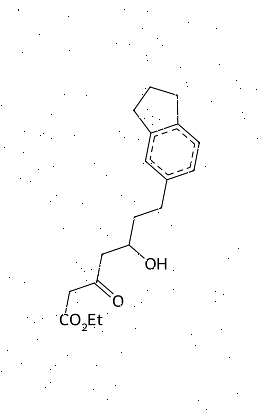 CCOC(=O)CC(=O)CC(O)CCc1ccc2c(c1)CCC2